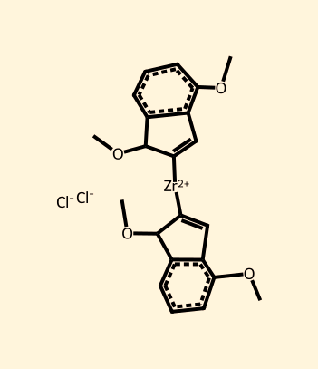 COc1cccc2c1C=[C]([Zr+2][C]1=Cc3c(OC)cccc3C1OC)C2OC.[Cl-].[Cl-]